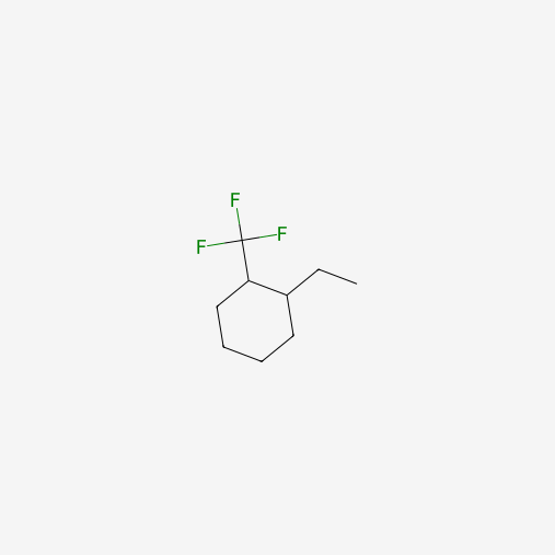 CCC1CCCCC1C(F)(F)F